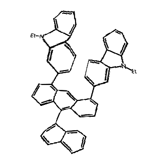 CCn1c2ccccc2c2ccc(-c3cccc4c(-c5cccc6ccccc56)c5cccc(-c6ccc7c8ccccc8n(CC)c7c6)c5cc34)cc21